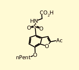 CCCCCOc1ccc(S(=O)(=O)NCC(=O)O)c2cc(C(C)=O)oc12